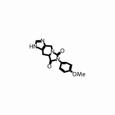 COc1ccc(N2C(=O)C3Cc4[nH]cnc4CN3C2=O)cc1